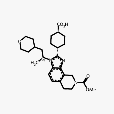 COC(=O)N1CCc2ccc3c(nc([C@H]4CC[C@H](C(=O)O)CC4)n3[C@@H](C)CC3CCOCC3)c2C1